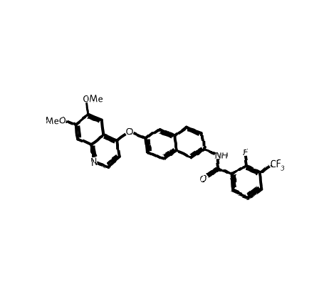 COc1cc2nccc(Oc3ccc4cc(NC(=O)c5cccc(C(F)(F)F)c5F)ccc4c3)c2cc1OC